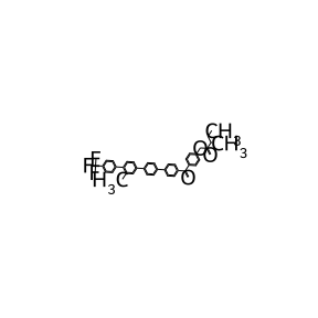 CCC(C)C(=O)Oc1ccc(C(=O)c2ccc(-c3ccc(-c4ccc(-c5ccc(C(F)(F)F)cc5)c(C)c4)cc3)cc2)cc1